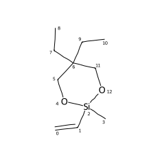 C=C[Si]1(C)OCC(CC)(CC)CO1